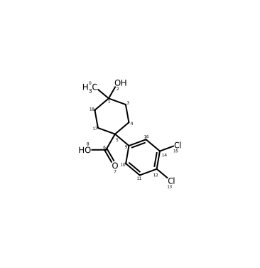 CC1(O)CCC(C(=O)O)(c2ccc(Cl)c(Cl)c2)CC1